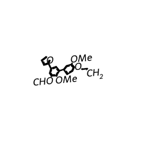 C=CCOc1ccc(-c2cc(-c3ccco3)cc(C=O)c2OC)cc1OC